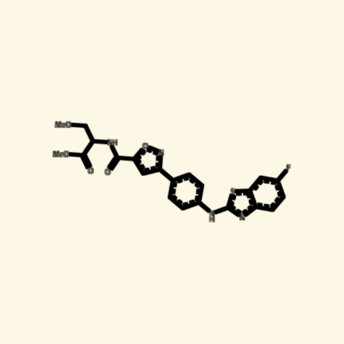 COCC(NC(=O)c1cc(-c2ccc(Nc3nc4ccc(F)cc4s3)cc2)no1)C(=O)OC